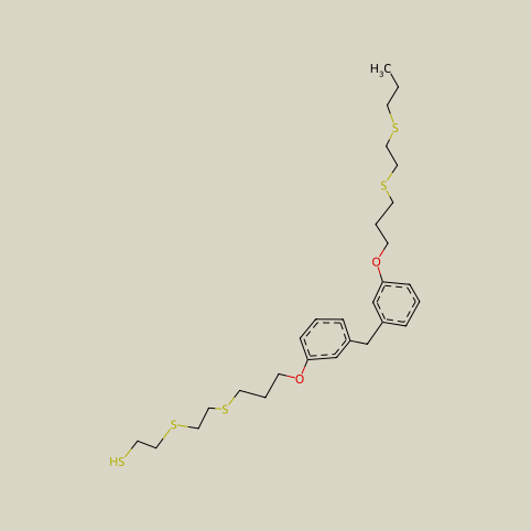 CCCSCCSCCCOc1cccc(Cc2cccc(OCCCSCCSCCS)c2)c1